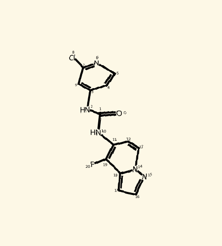 O=C(Nc1ccnc(Cl)c1)Nc1ccn2nccc2c1F